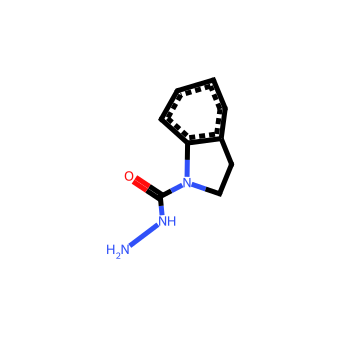 NNC(=O)N1CCc2ccccc21